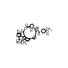 CCn1c(-c2cccnc2[C@H](C)OC)c2c3cc(ccc31)-c1csc(n1)C[C@H](NC(=O)[C@H]1CC[C@](C)(O)CC1)C(=O)N1CCC[C@H](N1)C(=O)OCC(C)(C)C2